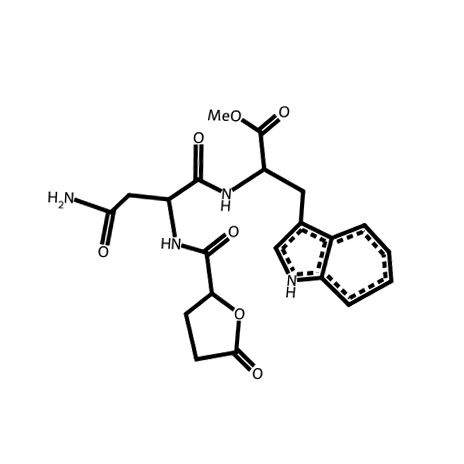 COC(=O)C(Cc1c[nH]c2ccccc12)NC(=O)C(CC(N)=O)NC(=O)C1CCC(=O)O1